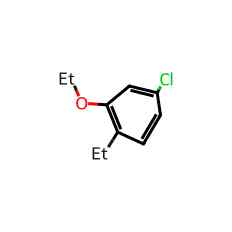 CCOc1cc(Cl)ccc1CC